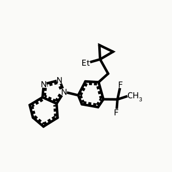 CCC1(Cc2cc(-n3nnc4ccccc43)ccc2C(C)(F)F)CC1